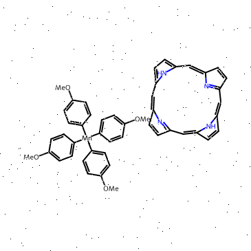 C1=Cc2cc3ccc(cc4nc(cc5ccc(cc1n2)[nH]5)C=C4)[nH]3.COc1cc[c]([Mn]([c]2ccc(OC)cc2)([c]2ccc(OC)cc2)[c]2ccc(OC)cc2)cc1